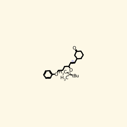 CC(C)(C)[Si](C)(C)OC(/C=C/C1CCCC(=O)C1)CCCOc1ccccc1